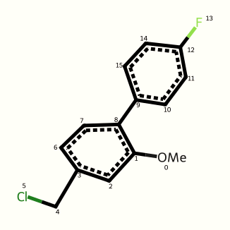 COc1cc(CCl)ccc1-c1ccc(F)cc1